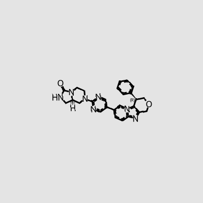 O=C1NC[C@@H]2CN(c3ncc(-c4ccc5nc6c(n5c4)[C@@H](c4ccccc4)COC6)cn3)CCN12